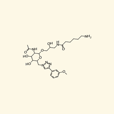 COc1cccc(-c2cn(CC3OC(OCC(O)CNC(=O)CCCCCN)C(NC(C)=O)C(O)C3O)nn2)c1